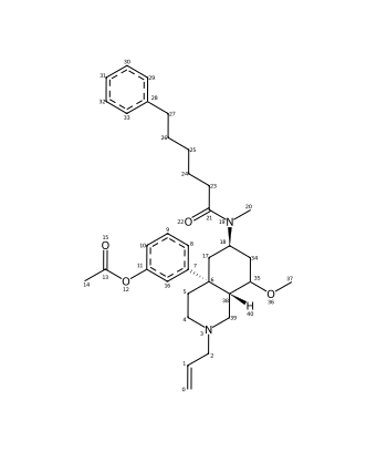 C=CCN1CC[C@@]2(c3cccc(OC(C)=O)c3)C[C@@H](N(C)C(=O)CCCCCc3ccccc3)CC(OC)[C@@H]2C1